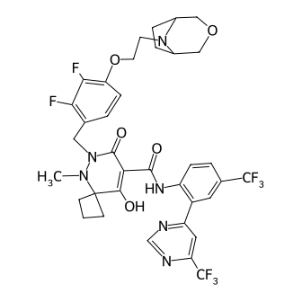 CN1N(Cc2ccc(OCCN3C4CCC3COC4)c(F)c2F)C(=O)C(C(=O)Nc2ccc(C(F)(F)F)cc2-c2cc(C(F)(F)F)ncn2)=C(O)C12CCC2